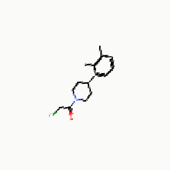 Cc1cccc(C2CCN(C(=O)CCl)CC2)c1C